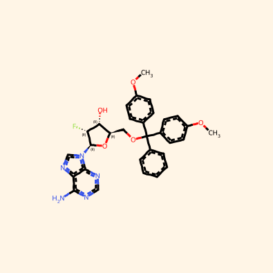 COc1ccc(C(OC[C@H]2O[C@@H](n3cnc4c(N)ncnc43)[C@H](F)[C@@H]2O)(c2ccccc2)c2ccc(OC)cc2)cc1